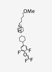 COCCCCC[Si@H]1CC[C@H](C2CCC(c3cc(F)c(OC=C(F)F)c(F)c3)CC2)CC1